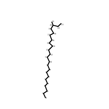 CCCCCCCCCCCCCCCCCCCC[C](C)CC